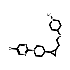 N#CB1CCC(OCCC2CC2C2CCN(c3ncc(Cl)cn3)CC2)CC1